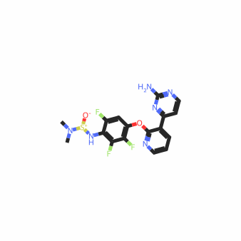 CN(C)[S+]([O-])Nc1c(F)cc(Oc2ncccc2-c2ccnc(N)n2)c(F)c1F